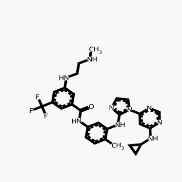 CNCCNc1cc(C(=O)Nc2ccc(C)c(Nc3nccn3-c3cc(NC4CC4)ncn3)c2)cc(C(F)(F)F)c1